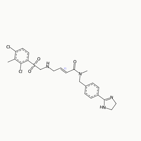 Cc1c(Cl)ccc(S(=O)(=O)CNC/C=C/C(=O)N(C)Cc2ccc(C3=NCCN3)cc2)c1Cl